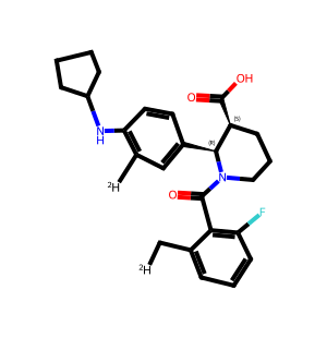 [2H]Cc1cccc(F)c1C(=O)N1CCC[C@H](C(=O)O)[C@@H]1c1ccc(NC2CCCC2)c([2H])c1